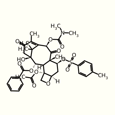 CC(=O)O[C@@]12CO[C@@H]1C[C@H](OS(=O)(=O)c1ccc(C)cc1)[C@@]1(C)C(=O)[C@H](OC(=O)N(C)C)C3=C(C)C(=O)C[C@@](O)([C@@H](OC(=O)c4ccccc4)[C@H]21)C3(C)C